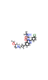 CCOC1CCN(CC2CC(c3ccc4nc(-c5cccc(Cl)c5)n(CC(=O)NC(C)C)c(=O)c4c3)C2)CC1